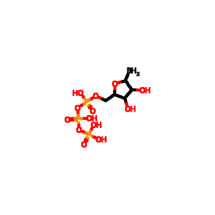 BC1OC(COP(=O)(O)OP(=O)(O)OP(=O)(O)O)C(O)C1O